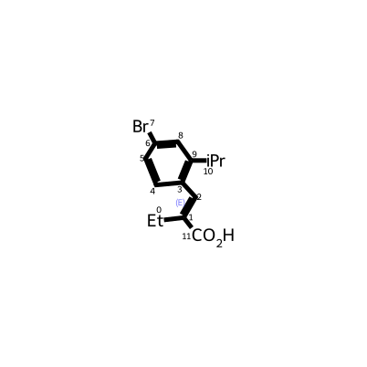 CC/C(=C\c1ccc(Br)cc1C(C)C)C(=O)O